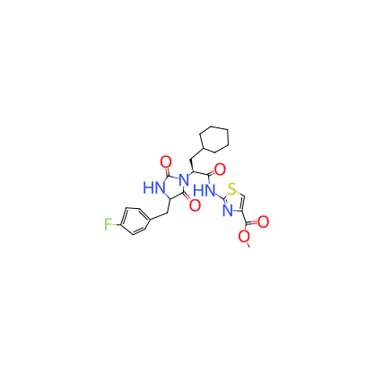 COC(=O)c1csc(NC(=O)[C@H](CC2CCCCC2)N2C(=O)NC(Cc3ccc(F)cc3)C2=O)n1